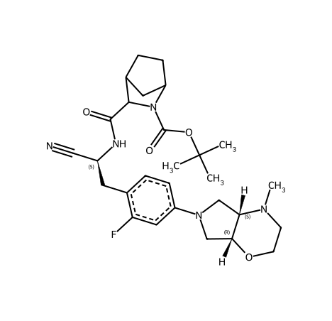 CN1CCO[C@@H]2CN(c3ccc(C[C@@H](C#N)NC(=O)C4C5CCC(C5)N4C(=O)OC(C)(C)C)c(F)c3)C[C@@H]21